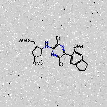 CCc1nc(-c2cc3c(cc2OC)CCC3)c(CC)nc1NC1C[C@@H](OC)C[C@@H]1COC